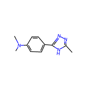 Cc1nnc(-c2ccc(N(C)C)cc2)[nH]1